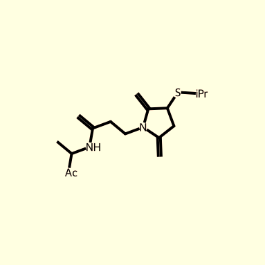 C=C(CCN1C(=C)CC(SC(C)C)C1=C)NC(C)C(C)=O